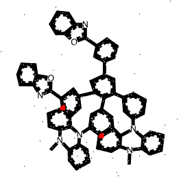 CN1c2ccccc2N(c2cccc(-c3cc(-c4cccc(-c5nc6ccccc6o5)c4)cc(-c4cccc(-c5nc6ccccc6o5)c4)c3-c3cccc(N4c5ccccc5N(C)c5ccccc54)c3)c2)c2ccccc21